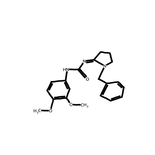 COc1ccc(NC(=O)N=C2CCCN2Cc2ccccc2)cc1OC